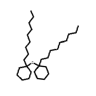 CCCCCCCCCC1(OC2(CCCCCCCCC)CCCCC2)CCCCC1